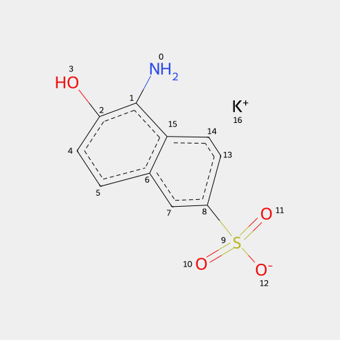 Nc1c(O)ccc2cc(S(=O)(=O)[O-])ccc12.[K+]